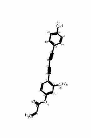 C=CC(=O)Oc1ccc(C#CC#Cc2ccc(O)cc2)c(C)c1